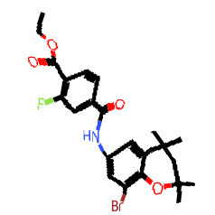 CCOC(=O)c1ccc(C(=O)Nc2cc(Br)c3c(c2)C(C)(C)CC(C)(C)O3)cc1F